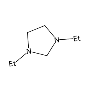 CCN1CCN(CC)C1